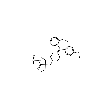 CCC(CC)(CN1CCC(=C2c3ccc(OC)cc3COc3ccccc32)CC1)C(=O)NS(C)(=O)=O